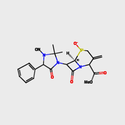 C=C1C[S+]([O-])[C@@H]2C(N3C(=O)C(c4ccccc4)N(N=O)C3(C)C)C(=O)N2C1C(=O)OC